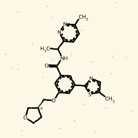 Cc1ccc(C(C)NC(=O)c2cc(OC[C@H]3CCOC3)cc(-c3ncc(C)s3)c2)nn1